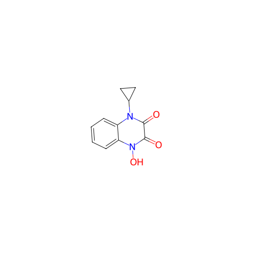 O=c1c(=O)n(C2CC2)c2ccccc2n1O